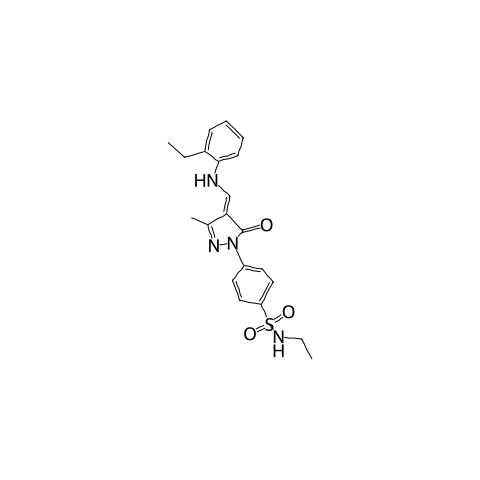 CCNS(=O)(=O)c1ccc(N2N=C(C)/C(=C\Nc3ccccc3CC)C2=O)cc1